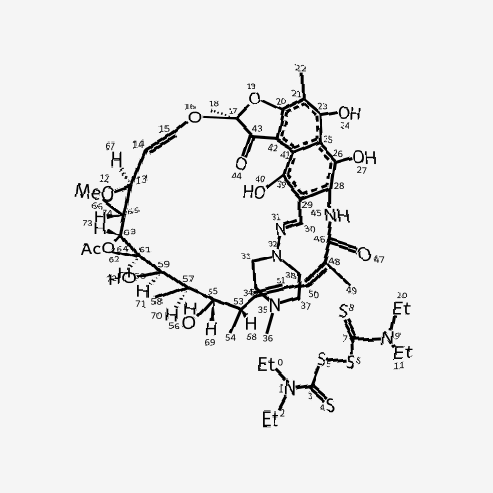 CCN(CC)C(=S)SSC(=S)N(CC)CC.CO[C@H]1/C=C/O[C@@]2(C)Oc3c(C)c(O)c4c(O)c(c(/C=N/N5CCN(C)CC5)c(O)c4c3C2=O)NC(=O)/C(C)=C\C=C\[C@H](C)[C@H](O)[C@@H](C)[C@@H](O)[C@@H](C)[C@H](OC(C)=O)[C@@H]1C